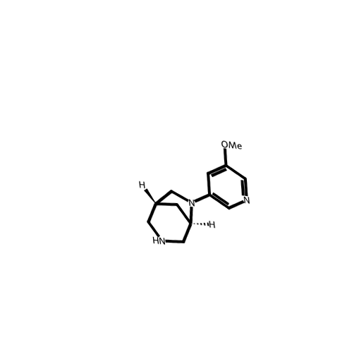 COc1cncc(N2C[C@H]3CNC[C@H]2C3)c1